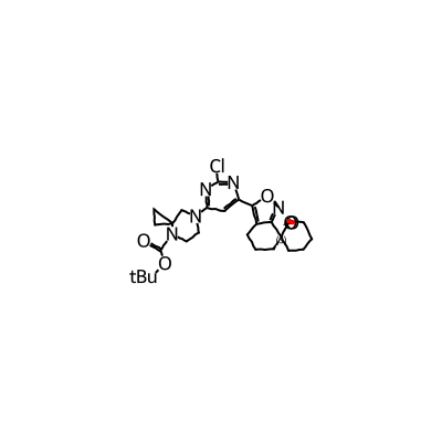 CC(C)(C)OC(=O)N1CCN(c2cc(-c3onc4c3CCC[C@@]43CCCCC34OCCO4)nc(Cl)n2)CC12CC2